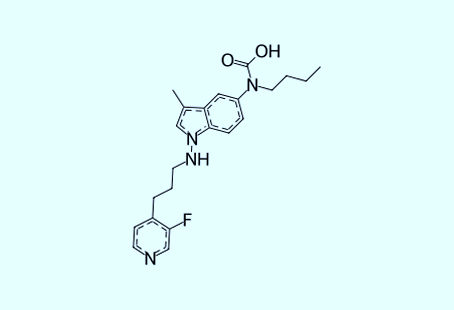 CCCCN(C(=O)O)c1ccc2c(c1)c(C)cn2NCCCc1ccncc1F